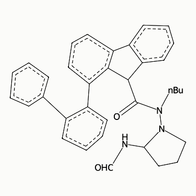 CCCCN(C(=O)C1c2ccccc2-c2cccc(-c3ccccc3-c3ccccc3)c21)N1CCCC1NC=O